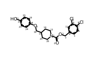 O=C(OCc1ccc(Cl)c(Cl)c1)N1CCC(COc2ccc(O)cc2)CC1